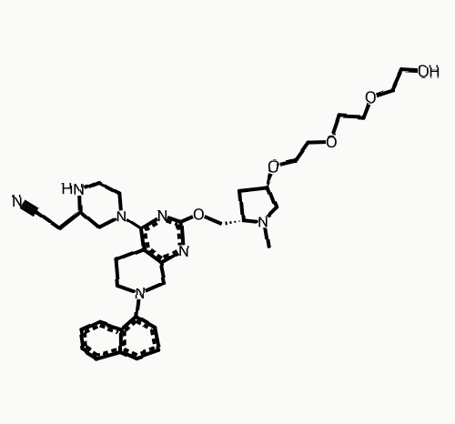 CN1C[C@H](OCCOCCOCCO)C[C@H]1COc1nc2c(c(N3CCNC(CC#N)C3)n1)CCN(c1cccc3ccccc13)C2